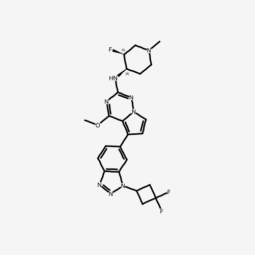 COc1nc(N[C@@H]2CCN(C)C[C@@H]2F)nn2ccc(-c3ccc4nnn(C5CC(F)(F)C5)c4c3)c12